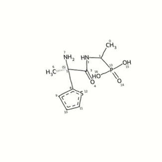 CC(NC(=O)[C@](C)(N)c1cccs1)P(=O)(O)O